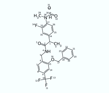 CC(C(=O)NCc1ccc(C(F)(F)F)cc1OCc1ccccc1)c1ccc(N(C)[SH](=O)=O)c(F)c1